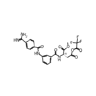 COC(=O)[C@H](CC(=O)OC(=O)C(F)(F)F)NC(=O)c1cccc(NC(=O)c2ccc(C(=N)N)cc2)c1